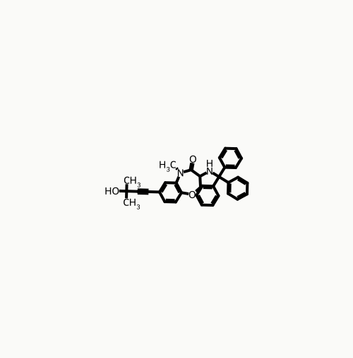 CN1C(=O)C(NC(c2ccccc2)(c2ccccc2)c2ccccc2)COc2ccc(C#CC(C)(C)O)cc21